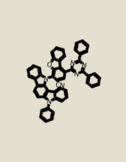 N#Cc1cc(-c2nc(-c3ccccc3)nc(-c3ccccc3)n2)c2c(oc3ccccc32)c1-n1c2ccccc2c2ccc3c(c4ccccc4n3-c3ccccc3)c21